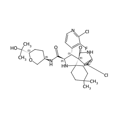 CC1(C)CCC2(CC1)N[C@@H](C(=O)N[C@@H]1CC[C@@H](C(C)(C)O)OC1)[C@H](c1ccnc(Cl)c1F)[C@]21C(=O)Nc2cc(Cl)ccc21